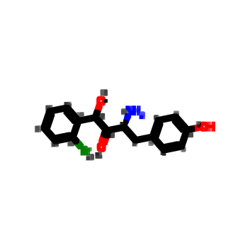 N[C@@H](Cc1ccc(O)cc1)C(=O)C([O])c1ccccc1Br